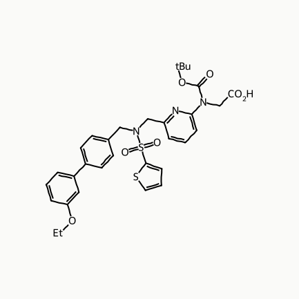 CCOc1cccc(-c2ccc(CN(Cc3cccc(N(CC(=O)O)C(=O)OC(C)(C)C)n3)S(=O)(=O)c3cccs3)cc2)c1